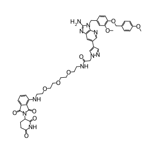 COc1ccc(COc2ccc(Cn3c(N)nc4cc(-c5cnn(CC(=O)NCCOCCOCCOCCNc6cccc7c6C(=O)N(C6CCC(=O)NC6=O)C7=O)c5)cnc43)cc2OC)cc1